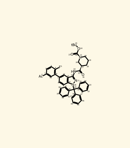 CC(=O)c1ccc(F)c(-c2ccc3c(c2)c(NC(=O)[C@@H]2CCCN(C(=O)OC(C)(C)C)C2)nn3C(c2ccccc2)(c2ccccc2)c2ccccc2)c1